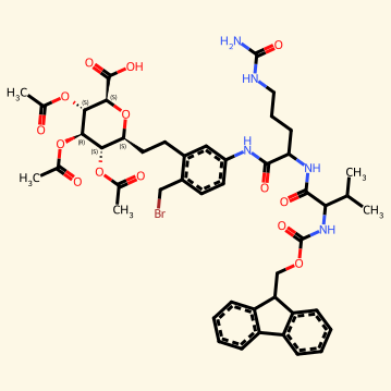 CC(=O)O[C@@H]1[C@@H](OC(C)=O)[C@H](CCc2cc(NC(=O)C(CCCNC(N)=O)NC(=O)C(NC(=O)OCC3c4ccccc4-c4ccccc43)C(C)C)ccc2CBr)O[C@H](C(=O)O)[C@H]1OC(C)=O